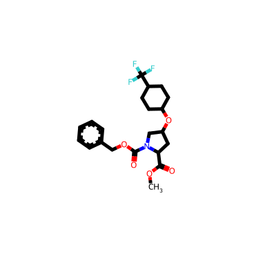 COC(=O)C1CC(OC2CCC(C(F)(F)F)CC2)CN1C(=O)OCc1ccccc1